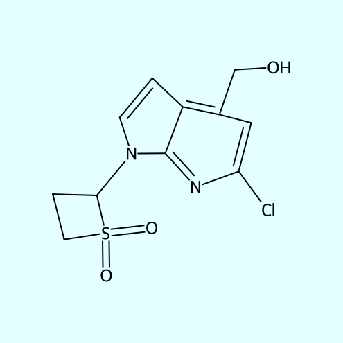 O=S1(=O)CCC1n1ccc2c(CO)cc(Cl)nc21